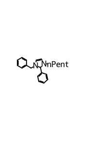 CCCCCN1C=CN(Cc2ccccc2)C1c1ccccc1